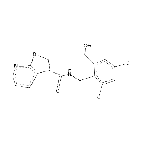 O=C(NCc1c(Cl)cc(Cl)cc1CO)[C@H]1COc2ncccc21